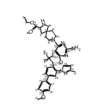 CCOC(=O)C1CC2(CCN(c3cc(O[C@H](c4ccc(-c5ccc(OC)cc5)cc4-n4ccc(C)n4)C(F)(F)F)nc(N)n3)CC2)CN1